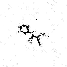 CC(N)C(=O)Nc1[c]nccc1